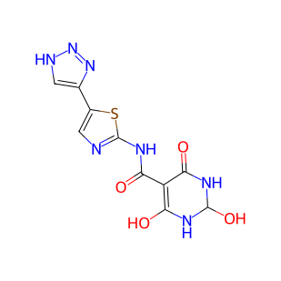 O=C(Nc1ncc(-c2c[nH]nn2)s1)C1=C(O)NC(O)NC1=O